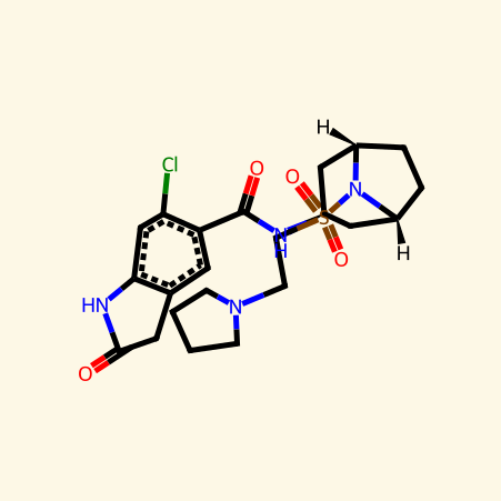 O=C1Cc2cc(C(=O)N[C@@H]3C[C@H]4CC[C@@H](C3)N4S(=O)(=O)CCN3CCCC3)c(Cl)cc2N1